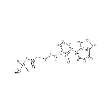 Cc1c(OCCCNCC(C)(C)O)cccc1-c1cccc2c1CCC2